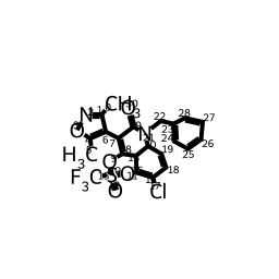 Cc1noc(C)c1C1=C(OS(=O)(=O)C(F)(F)F)C2C=C(Cl)C=CC2N(Cc2ccccc2)C1=O